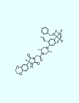 CC=Cc1cc(C(OCc2ccccc2)(C(F)(F)F)C(F)(F)F)ccc1N1CC(C)N(C(=O)CN2C(=O)N[C@](C)(c3ccc4c(c3)OCCO4)C2=O)CC1C